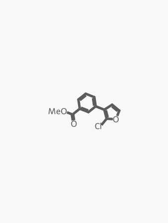 COC(=O)c1cccc(-c2ccoc2Cl)c1